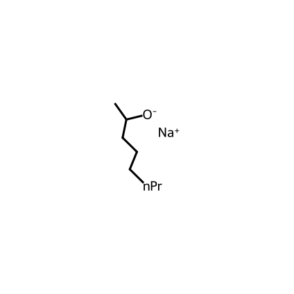 CCCCCCC(C)[O-].[Na+]